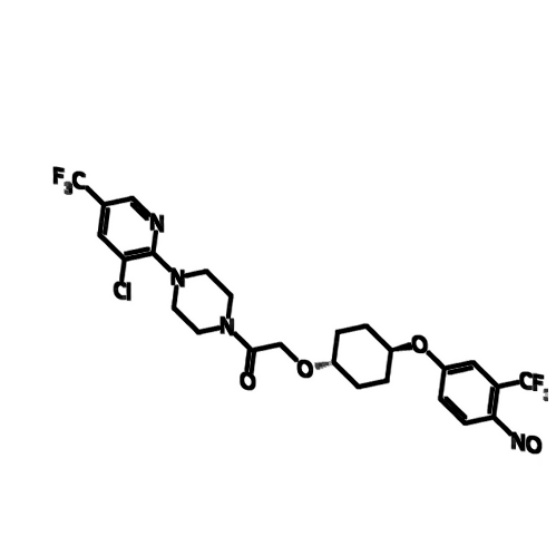 O=C(CO[C@H]1CC[C@H](Oc2ccc([N+](=O)[O-])c(C(F)(F)F)c2)CC1)N1CCN(c2ncc(C(F)(F)F)cc2Cl)CC1